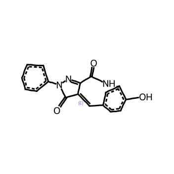 NC(=O)C1=NN(c2ccccc2)C(=O)/C1=C/c1ccc(O)cc1